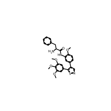 COc1ccc(-c2cnsc2-c2cc(OC)c(OC)c(OC)c2)cc1NC(=O)C(N)Cc1ccccc1